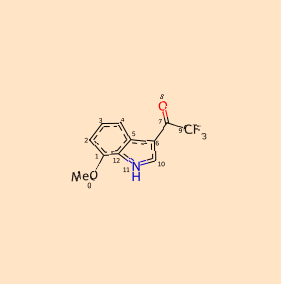 COc1cccc2c(C(=O)C(F)(F)F)c[nH]c12